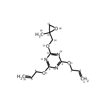 C=CCOc1nc(OCC=C)nc(OCC2(C)CO2)n1